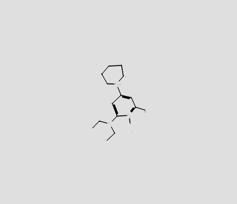 CCN(CC)c1cc(N2CCCCC2)cc(C)[n+]1[O-]